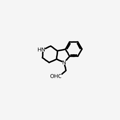 O=CCN1c2ccccc2C2CNCCC21